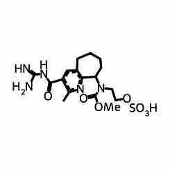 COC(=O)N(CCOS(=O)(=O)O)C1CCCCc2cc(C(=O)NC(=N)N)c(C)nc21